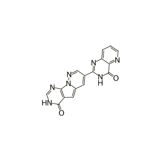 O=c1[nH]cnc2c1cc1cc(-c3nc4cccnc4c(=O)[nH]3)cnn12